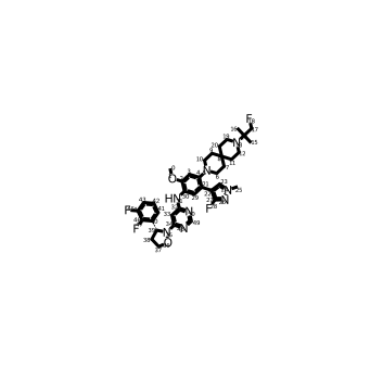 COc1cc(N2CCC3(CC2)CCN(C(C)(C)CF)CC3)c(-c2cn(C)nc2F)cc1Nc1cc(N2OCC[C@@H]2c2cccc(F)c2F)ncn1